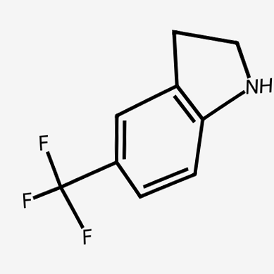 FC(F)(F)c1ccc2c(c1)CCN2